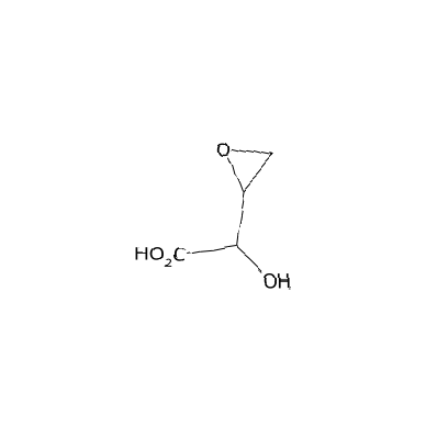 O=C(O)C(O)C1CO1